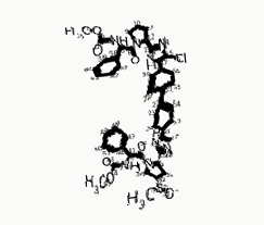 COC(=O)N[C@H](C(=O)N1CCCC1c1nc(Cl)c(-c2ccc(-c3ccc(-c4cnc([C@@H]5C[C@H]([S+](C)[O-])CN5C(=O)[C@@H](NC(=O)OC)c5ccccc5)[nH]4)cc3)cc2)[nH]1)c1ccccc1